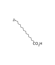 O=C(O)CCCCCCCCCCCCCC1CC1